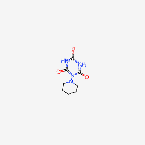 O=c1[nH]c(=O)n(N2CCCCC2)c(=O)[nH]1